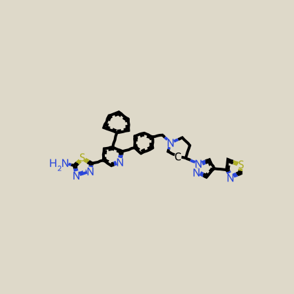 Nc1nnc(-c2cnc(-c3ccc(CN4CCC(n5cc(-c6cscn6)cn5)CC4)cc3)c(-c3ccccc3)c2)s1